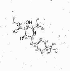 CCOC(=O)c1c(O)c(C(C)C)nn(Cc2ccc(C(C)(C)C)cc2)c1=O